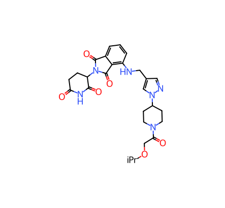 CC(C)OCC(=O)N1CCC(n2cc(CNc3cccc4c3C(=O)N(C3CCC(=O)NC3=O)C4=O)cn2)CC1